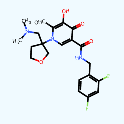 CN(C)CC1(n2cc(C(=O)NCc3ccc(F)cc3F)c(=O)c(O)c2C=O)CCOC1